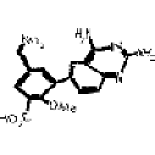 COc1c(C(=O)O)cc(C[N+](=O)[O-])cc1-c1ccc2nc(N)nc(N)c2c1